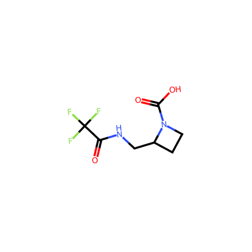 O=C(O)N1CCC1CNC(=O)C(F)(F)F